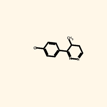 CC1CC=NN=C1c1ccc(Cl)cc1